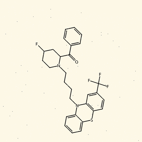 O=C(c1ccccc1)C1CC(F)CCN1CCCCN1c2ccccc2Sc2ccc(C(F)(F)F)cc21